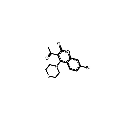 CC(=O)c1c(N2CCSCC2)c2ccc(Br)cc2oc1=O